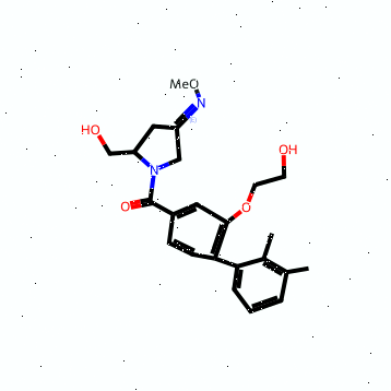 CO/N=C1\CC(CO)N(C(=O)c2ccc(-c3cccc(C)c3C)c(OCCO)c2)C1